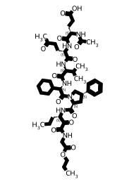 CCCOC(=O)CNC(=O)C(=O)[C@H](CCC)NC(=O)[C@@H]1C[C@@H](c2ccccc2)CN1C(=O)[C@@H](NC(=O)[C@@H](NC(=O)[C@H](CCC(C)=O)NC(=O)[C@H](CCC(=O)O)NC(C)=O)C(C)C)C1CCCCC1